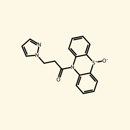 O=C(CCn1cccn1)N1c2ccccc2[S+]([O-])c2ccccc21